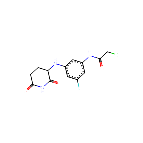 O=C1CCC(Nc2cc(F)cc(NC(=O)CCl)c2)C(=O)N1